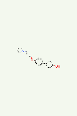 OC1CCC(c2ccc(OCCCN3CCCC3)cc2)CC1